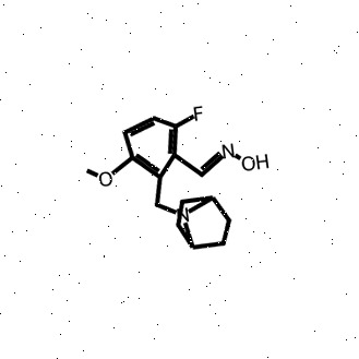 COc1ccc(F)c(C=NO)c1CN1C2CCC1CC2